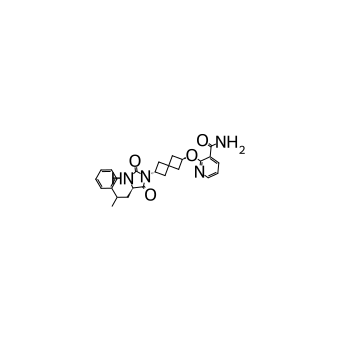 CC(C[C@H]1NC(=O)N([C@H]2CC3(C[C@H](Oc4ncccc4C(N)=O)C3)C2)C1=O)c1ccccc1